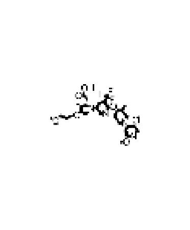 COCCCO[C@H]1CN(c2cnc(OC3CCN(c4cc(OC)ncc4Cl)CC3C)c(C(F)(F)F)c2)[C@@H](CC(=O)O)[C@@H]1C